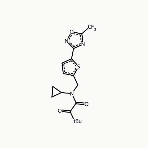 CC(C)(C)C(=O)C(=O)N(Cc1ccc(-c2noc(C(F)(F)F)n2)s1)C1CC1